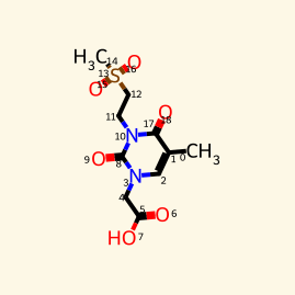 Cc1cn(CC(=O)O)c(=O)n(CCS(C)(=O)=O)c1=O